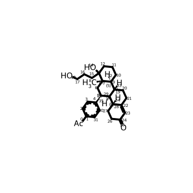 CC(=O)c1ccc([C@H]2C[C@@]3(C)[C@@H](CCCC3(O)CCCO)[C@@H]3CCC4=CC(=O)CC[C@@H]4[C@H]32)cc1